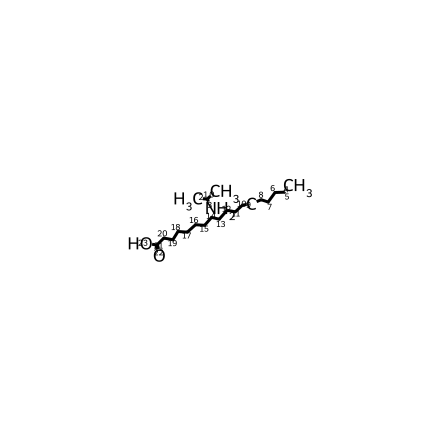 CC(C)N.CCCCCCCCCCCCCCCCCC(=O)O